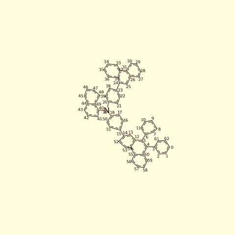 c1ccc(-c2c(-c3ccccc3)c3cc(-c4ccc(N(c5ccc(-c6cc7ccccc7c7ccccc67)cc5)c5cccc6ccccc56)cc4)ccc3c3ccccc23)cc1